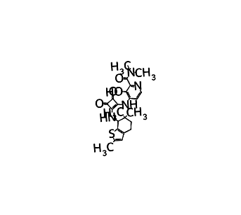 Cc1cc2c(s1)C(Nc1c(Nc3ccnc(C(=O)N(C)C)c3O)c(=O)c1=O)C(C)(C)CC2